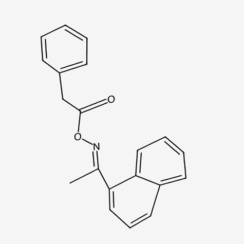 CC(=NOC(=O)Cc1ccccc1)c1cccc2ccccc12